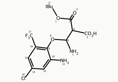 CC(C)(C)OC(=O)C(C(=O)O)C(N)Oc1c(N)cc(Cl)cc1C(F)(F)F